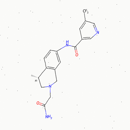 C[C@H]1CN(CC(N)=O)Cc2cc(NC(=O)c3cncc(C(F)(F)F)c3)ccc21